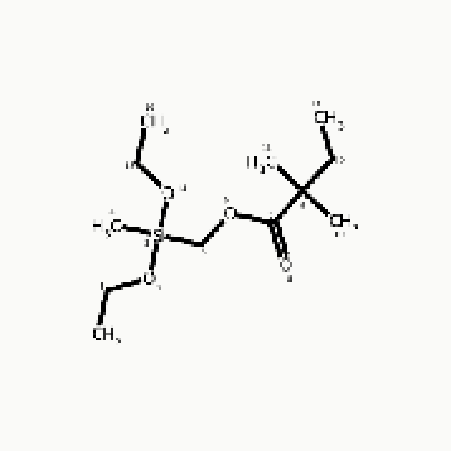 CCO[Si](C)(COC(=O)C(C)(C)CC)OCC